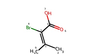 CC(C)=C(Br)C(=O)O